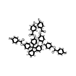 O=C(Oc1ccc([S+](c2ccc(OC(=O)c3ccc(F)cc3)cc2)c2ccc3c(c2)C(c2ccc(OC(=O)c4ccc(F)cc4)cc2)(c2ccc(OC(=O)c4ccc(F)cc4)cc2)c2ccccc2-3)cc1)c1ccc(F)cc1